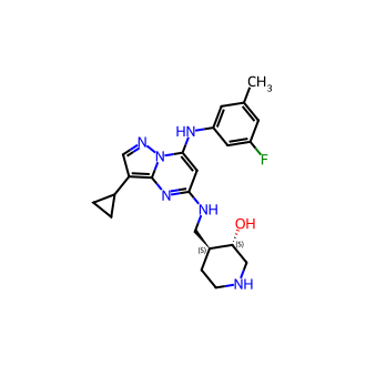 Cc1cc(F)cc(Nc2cc(NC[C@@H]3CCNC[C@H]3O)nc3c(C4CC4)cnn23)c1